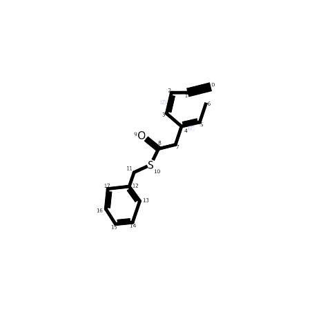 C#C/C=C\C(=C/C)CC(=O)SCc1ccccc1